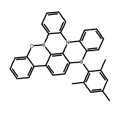 Cc1cc(C)c(B2c3ccccc3N3c4ccccc4B4Oc5ccccc5-c5ccc2c3c54)c(C)c1